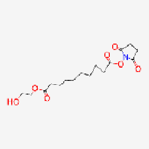 O=C(CCCCCCCCC(=O)ON1C(=O)CCC1=O)OCCO